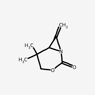 C=C1C2N1C(=O)OCC2(C)C